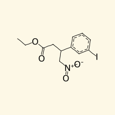 CCOC(=O)CC(C[N+](=O)[O-])c1cccc(I)c1